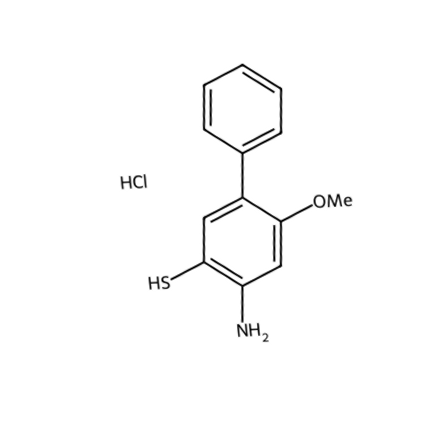 COc1cc(N)c(S)cc1-c1ccccc1.Cl